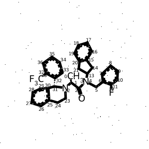 C[C@@H](C(=O)N(Cc1ccccc1F)C1Cc2ccccc2C1)N1CCc2ccccc2[C@@H]1c1ccccc1C(F)(F)F